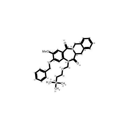 COc1cc2c(cc1OCc1ccccc1)N(COCC[Si](C)(C)C)C(=O)C1Cc3ccccc3CN1C2=O